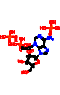 CON1CN=C(N)c2ncn([C@@H]3O[C@H](CO)[C@@H](O)[C@H]3O)c21.O=P(O)(O)O.O=P(O)(O)O.O=P(O)(O)O